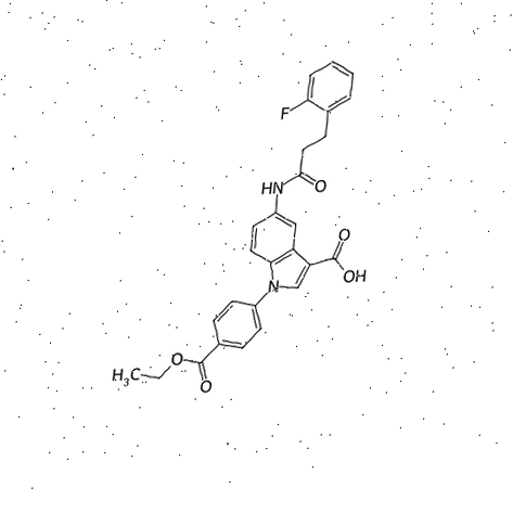 CCOC(=O)c1ccc(-n2cc(C(=O)O)c3cc(NC(=O)CCc4ccccc4F)ccc32)cc1